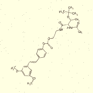 COc1cc(C=Cc2ccc(OC(=O)OCCNC(=O)C(NC(=O)O)C(C)OC(C)(C)C)cc2)cc(OC)c1